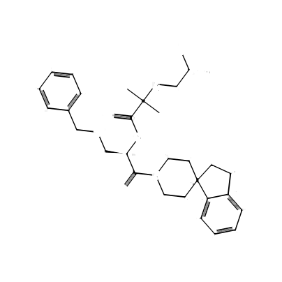 C[C@@H](O)CNC(C)(C)C(=O)N[C@H](COCc1ccccc1)C(=O)N1CCC2(CCc3ccccc32)CC1